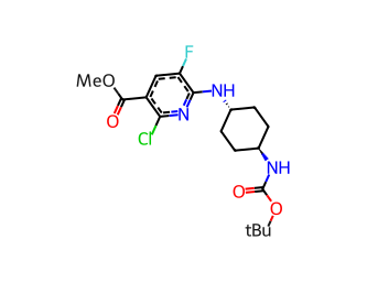 COC(=O)c1cc(F)c(N[C@H]2CC[C@H](NC(=O)OC(C)(C)C)CC2)nc1Cl